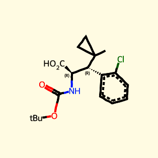 CC(C)(C)OC(=O)N[C@@H](C(=O)O)[C@@H](c1ccccc1Cl)C1(C)CC1